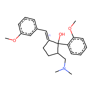 COc1cccc(/C=C2\CCC(CN(C)C)C2(O)c2ccccc2OC)c1